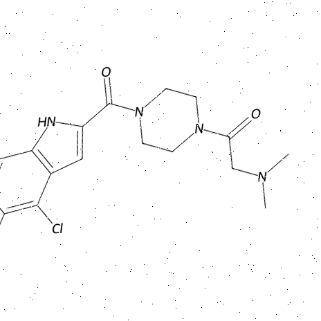 CN(C)CC(=O)N1CCN(C(=O)c2cc3c(Cl)c(F)ccc3[nH]2)CC1